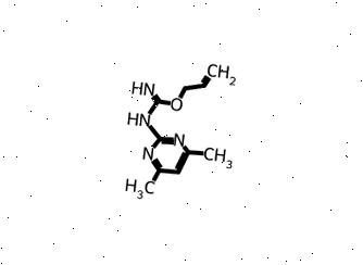 C=CCOC(=N)Nc1nc(C)cc(C)n1